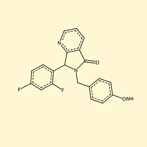 COc1ccc(CN2C(=O)c3cccnc3C2c2ccc(F)cc2F)cc1